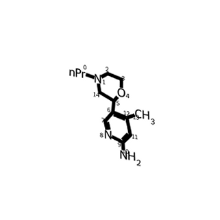 CCCN1CCOC(c2cnc(N)cc2C)C1